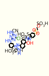 N#CNc1nc(Cl)nc(Nc2ccc(S(=O)(=O)O)c(/N=N/c3c(NCS(=O)(=O)O)ccc4c(O)c(/N=N/c5ccc(S(=O)(=O)CCOS(=O)(=O)O)cc5S(=O)(=O)O)c(S(=O)(=O)O)cc34)c2)n1